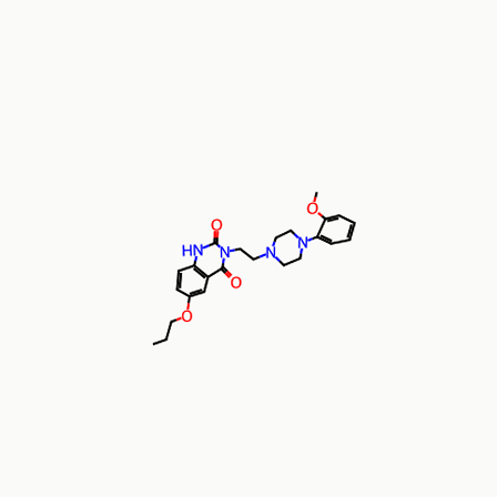 CCCOc1ccc2[nH]c(=O)n(CCN3CCN(c4ccccc4OC)CC3)c(=O)c2c1